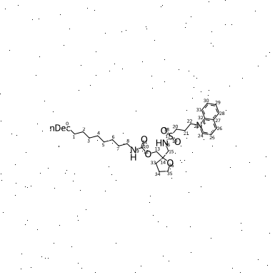 CCCCCCCCCCCCCCCCCCNC(=O)OCC1(CNS(=O)(=O)CCC[n+]2cccc3ccccc32)CCCO1